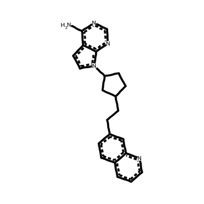 Nc1ncnc2c1ccn2C1CCC(CCc2ccc3cccnc3c2)C1